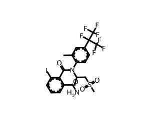 Cc1cc(C(F)(C(F)(F)F)C(F)(F)F)ccc1N(C(=O)c1c(I)cccc1C(N)=O)C(C)CS(C)(=O)=O